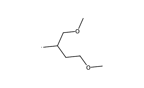 [CH2]C(CCOC)COC